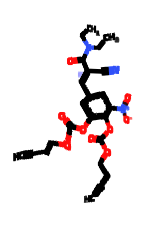 C#CCCOC(=O)Oc1cc(/C=C(\C#N)C(=O)N(CC)CC)cc([N+](=O)[O-])c1OC(=O)OCCC#C